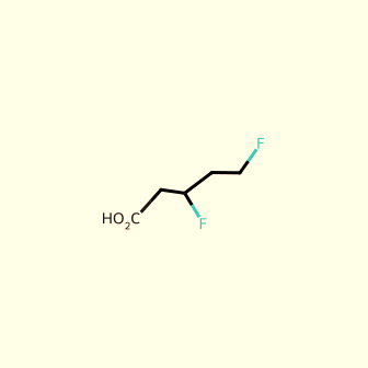 O=C(O)CC(F)CCF